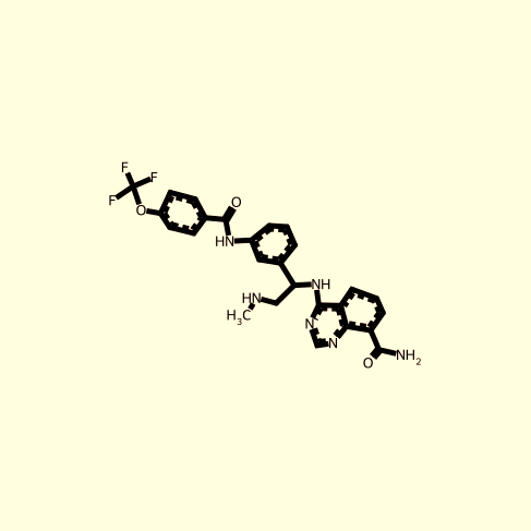 CNCC(Nc1ncnc2c(C(N)=O)cccc12)c1cccc(NC(=O)c2ccc(OC(F)(F)F)cc2)c1